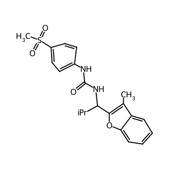 Cc1c(C(NC(=O)Nc2ccc(S(C)(=O)=O)cc2)C(C)C)oc2ccccc12